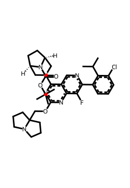 CC(C)c1c(Cl)cccc1-c1ncc2c(N3C[C@H]4CC[C@@H](C3)N4C(=O)OC(C)(C)C)nc(OCC34CCCN3CCC4)nc2c1F